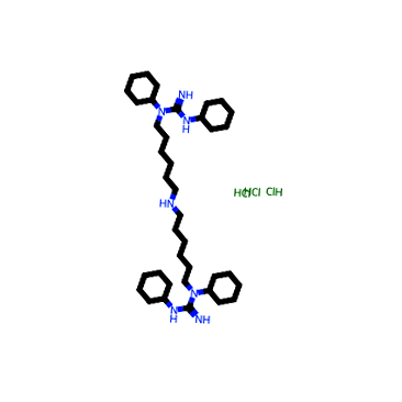 Cl.Cl.Cl.N=C(NC1CCCCC1)N(CCCCCCNCCCCCCN(C(=N)NC1CCCCC1)C1CCCCC1)C1CCCCC1